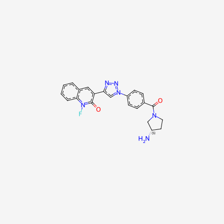 N[C@H]1CCN(C(=O)c2ccc(-n3cc(-c4cc5ccccc5n(F)c4=O)nn3)cc2)C1